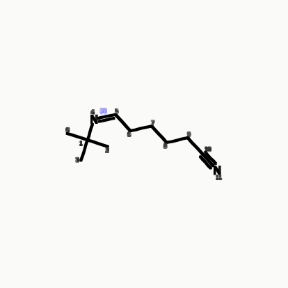 CC(C)(C)/N=C\CCCCC#N